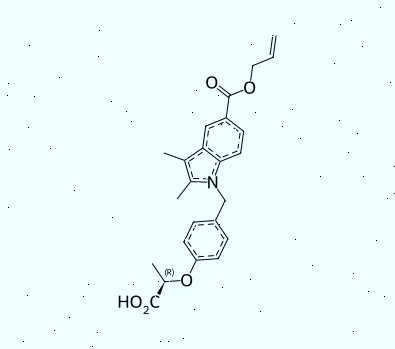 C=CCOC(=O)c1ccc2c(c1)c(C)c(C)n2Cc1ccc(O[C@H](C)C(=O)O)cc1